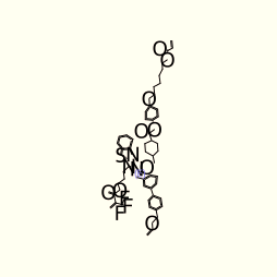 C=COCc1ccc(-c2ccc(OCC3CCC(C(=O)Oc4ccc(OCCCCCCOC(=O)C=C)cc4)CC3)c(/C=N/N(CCCOC(=O)C(=C)C(F)(F)F)c3nc4ccccc4s3)c2)cc1